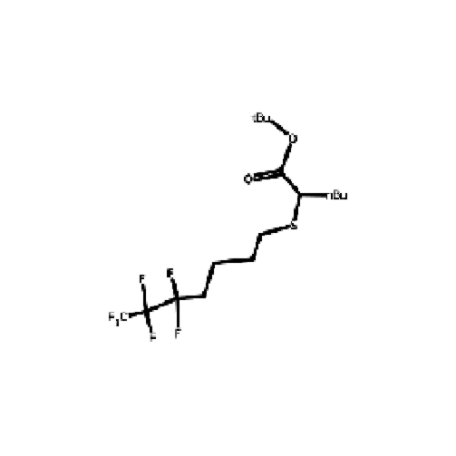 CCCCC(SCCCCC(F)(F)C(F)(F)C(F)(F)F)C(=O)OC(C)(C)C